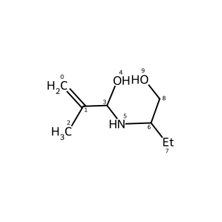 C=C(C)C(O)NC(CC)CO